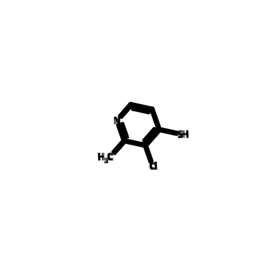 Cc1nccc(S)c1Cl